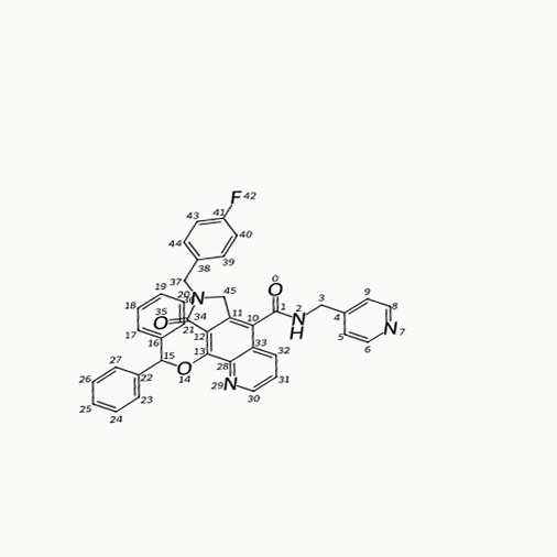 O=C(NCc1ccncc1)c1c2c(c(OC(c3ccccc3)c3ccccc3)c3ncccc13)C(=O)N(Cc1ccc(F)cc1)C2